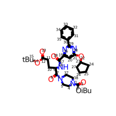 CC(C)COC(=O)N1CCN(C(=O)C(CCC(=O)OC(C)(C)C)NC(=O)c2cc(OC3CCCC3)nc(-c3ccccc3)n2)CC1